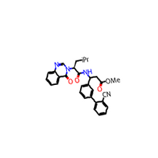 COC(=O)CC(NC(=O)[C@H](CC(C)C)n1cnc2ccccc2c1=O)c1cccc(-c2ccccc2C#N)c1